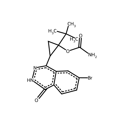 CC(C)(C)C1(OC(N)=O)CC1c1n[nH]c(=O)c2ccc(Br)cc12